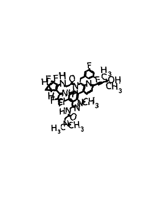 CN(C)CC(=O)Nc1nn(C)c2c(-c3ccc(C#CC(C)(C)O)nc3[C@H](Cc3cc(F)cc(F)c3)NC(=O)CNC3=C(C(=N)C(F)F)[C@H]4C[C@H]4C3(F)F)ccc(Cl)c12